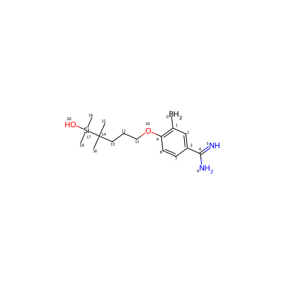 Bc1cc(C(=N)N)ccc1OCCCC(C)(C)[Si](C)(C)O